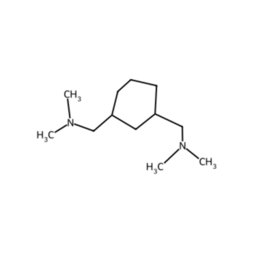 CN(C)CC1CCCC(CN(C)C)C1